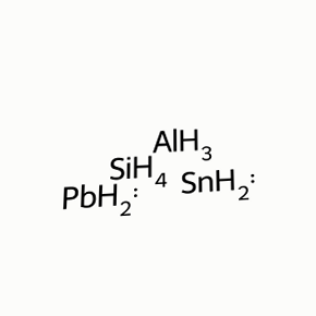 [AlH3].[PbH2].[SiH4].[SnH2]